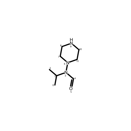 CC(C)N([C]=O)N1CCNCC1